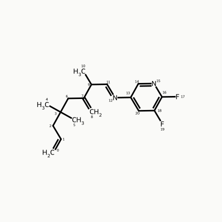 C=CCC(C)(C)CC(=C)C(C)/C=N/c1cnc(F)c(F)c1